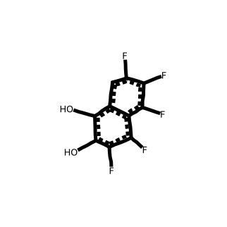 Oc1c(F)c(F)c2c(F)c(F)c(F)cc2c1O